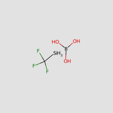 FC(F)(F)[SiH3].OB(O)O